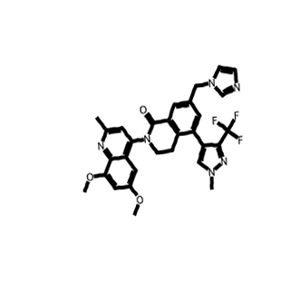 COc1cc(OC)c2nc(C)cc(N3CCc4c(cc(Cn5ccnc5)cc4-c4cn(C)nc4C(F)(F)F)C3=O)c2c1